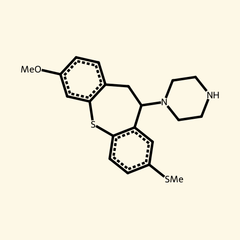 COc1ccc2c(c1)Sc1ccc(SC)cc1C(N1CCNCC1)C2